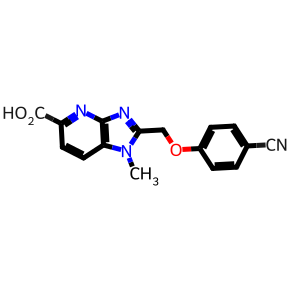 Cn1c(COc2ccc(C#N)cc2)nc2nc(C(=O)O)ccc21